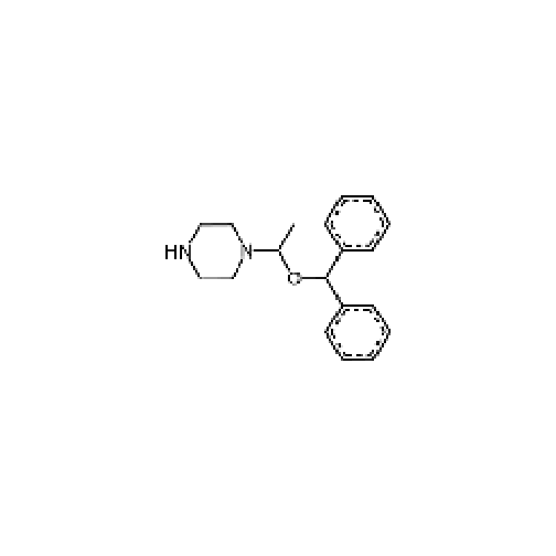 CC(OC(c1ccccc1)c1ccccc1)N1CCNCC1